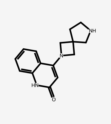 O=c1cc(N2CC3(CCNC3)C2)c2ccccc2[nH]1